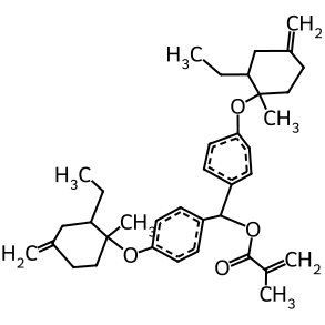 C=C1CCC(C)(Oc2ccc(C(OC(=O)C(=C)C)c3ccc(OC4(C)CCC(=C)CC4CC)cc3)cc2)C(CC)C1